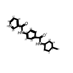 CC1CCC(NC(=O)c2ccc(NC(=O)c3cccnc3)cc2)CC1